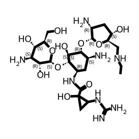 CCNC[C@H]1O[C@H](O[C@H]2[C@H](O)[C@@H](O[C@H]3O[C@H](CO)[C@@H](O)[C@H](N)[C@H]3O)[C@H](NC(=O)C3(O)CC3NC(=N)N)C[C@@H]2N)[C@H](N)C[C@@H]1O